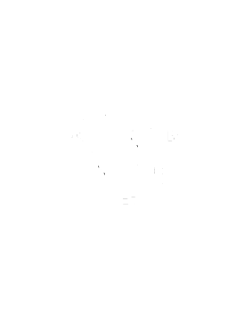 CCc1nc2sccc2n(CBr)c1=O